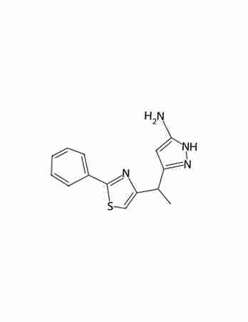 CC(c1cc(N)[nH]n1)c1csc(-c2ccccc2)n1